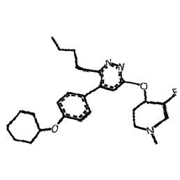 CCCCc1nnc(OC2CCN(C)CC2F)cc1-c1ccc(OC2CCCCC2)cc1